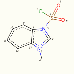 C[n+]1cn(S(=O)(=O)F)c2ccccc21